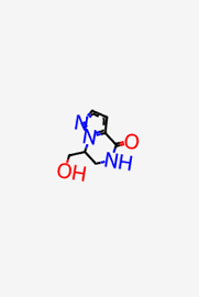 O=C1NCC(CO)n2nccc21